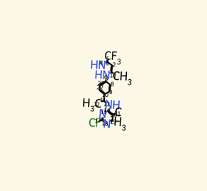 C/C(=C/C(=N)C(F)(F)F)Nc1ccc(C(C)Nc2nc(Cl)ncc2C)cc1